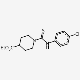 CCOC(=O)C1CCN(C(=S)Nc2ccc(Cl)cc2)CC1